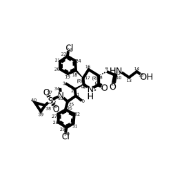 CC(C(C)[C@@H]1NC(=O)[C@@H](CC(=O)NCCO)C[C@@H]1c1cccc(Cl)c1)C(c1ccc(Cl)cc1)N(C)S(=O)(=O)C1CC1